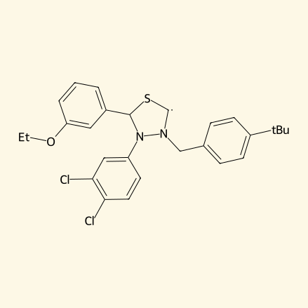 CCOc1cccc(C2S[CH]N(Cc3ccc(C(C)(C)C)cc3)N2c2ccc(Cl)c(Cl)c2)c1